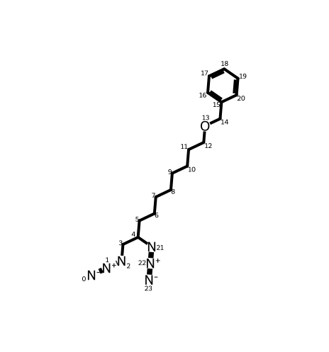 [N-]=[N+]=NCC(CCCCCCCCOCc1ccccc1)N=[N+]=[N-]